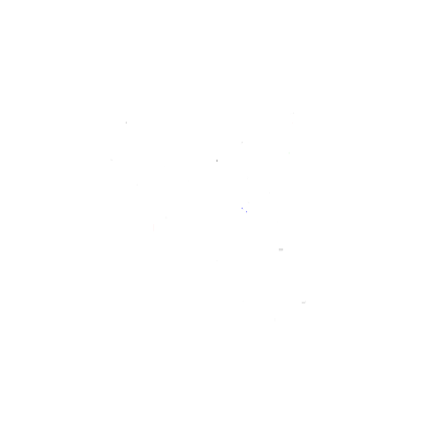 Oc1c(-c2ccoc2)cc[n+]2c1Cc1ccccc1C2.[O-][Cl+3]([O-])([O-])[O-]